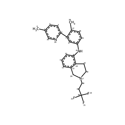 Cc1ccc(-c2cc(Nc3cccc4c3CCN(CCC(F)(F)F)C4)ccc2C)nc1